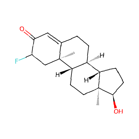 C[C@]12CC[C@H]3[C@@H](CCC4=CC(=O)C(F)C[C@@]43C)[C@@H]1CC[C@H]2O